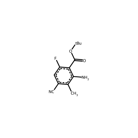 Cc1c(C#N)cc(F)c(C(=O)OC(C)(C)C)c1N